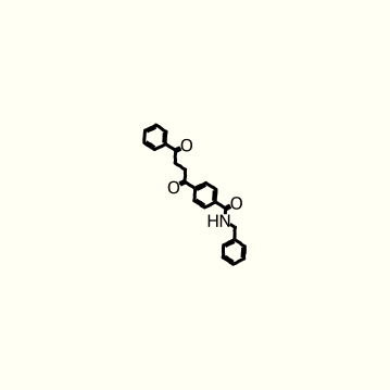 O=C(CCC(=O)c1ccc(C(=O)NCc2ccccc2)cc1)c1ccccc1